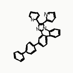 c1ccc(-c2ccc(-c3ccc4c5ccccc5n5c(-c6ccccn6)c(-c6ccccn6)nc5c4c3)cc2)cc1